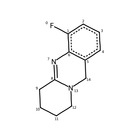 Fc1cccc2c1N=C1CCCCN1C2